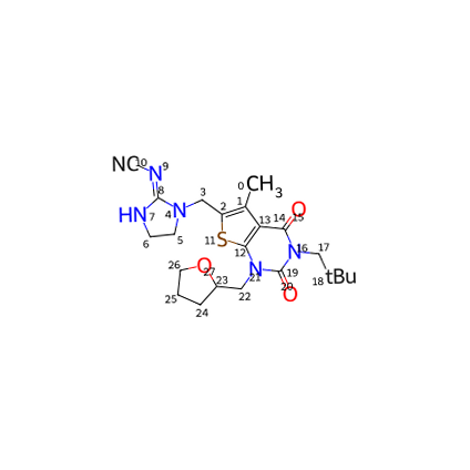 Cc1c(CN2CCNC2=NC#N)sc2c1c(=O)n(CC(C)(C)C)c(=O)n2CC1CCCO1